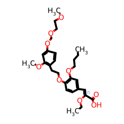 CCCCOc1cc(/C=C(\OCC)C(=O)O)ccc1OCCc1ccc(OCOCCOC)cc1OC